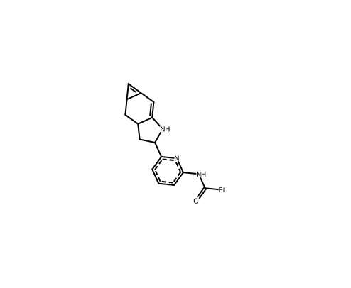 CCC(=O)Nc1cccc(C2CC3CC4C=C4C=C3N2)n1